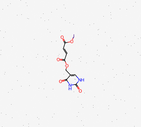 O=C(/C=C/C(=O)OCc1c[nH]c(=O)[nH]c1=O)OI